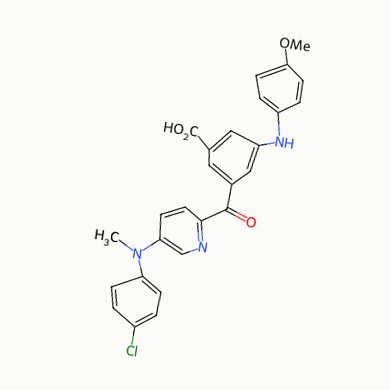 COc1ccc(Nc2cc(C(=O)O)cc(C(=O)c3ccc(N(C)c4ccc(Cl)cc4)cn3)c2)cc1